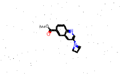 COC(=O)c1ccc2ncc(N3CCC3)cc2c1